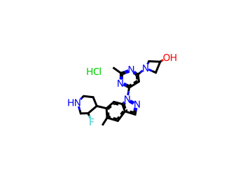 Cc1nc(N2CC(O)C2)cc(-n2ncc3cc(C)c(C4CCNCC4F)cc32)n1.Cl